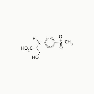 CCN(c1ccc(S(C)(=O)=O)cc1)C(CO)C(=O)O